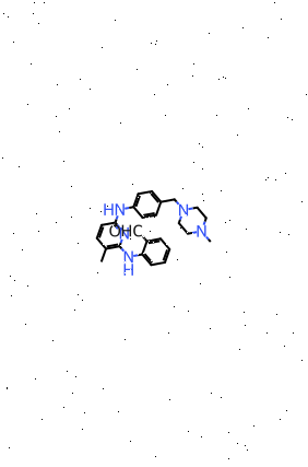 Cc1ccc(Nc2ccc(CN3CCN(C)CC3)cc2)nc1Nc1ccccc1C=O